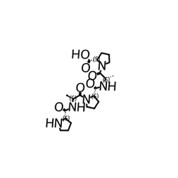 C[C@H](NC(=O)[C@@H]1CCCN1C(=O)[C@H](C)NC(=O)[C@@H]1CCCN1)C(=O)N1CCC[C@H]1C(=O)O